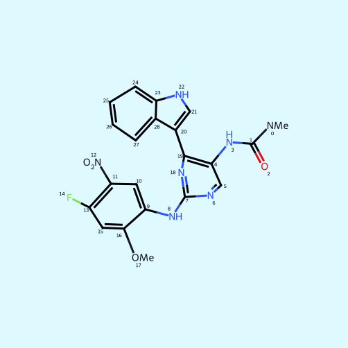 CNC(=O)Nc1cnc(Nc2cc([N+](=O)[O-])c(F)cc2OC)nc1-c1c[nH]c2ccccc12